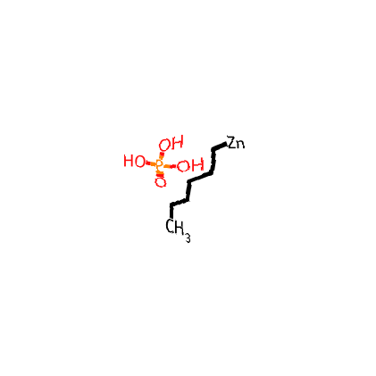 CCCCC[CH2][Zn].O=P(O)(O)O